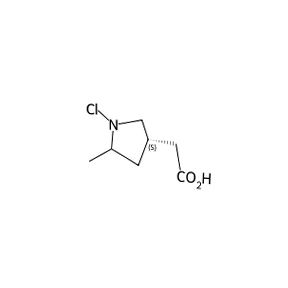 CC1C[C@@H](CC(=O)O)CN1Cl